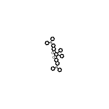 c1ccc(-c2c(-c3ccccc3)c3c4cc5ccc(N(c6ccccc6)c6ccccc6)cc5cc4oc3c3oc4cc5cc(N(c6ccccc6)c6ccccc6)ccc5cc4c23)cc1